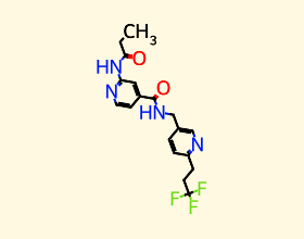 CCC(=O)Nc1cc(C(=O)NCc2ccc(CCC(F)(F)F)nc2)ccn1